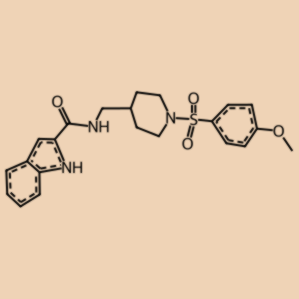 COc1ccc(S(=O)(=O)N2CCC(CNC(=O)c3cc4ccccc4[nH]3)CC2)cc1